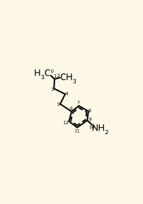 CC(C)CCCc1ccc(N)cc1